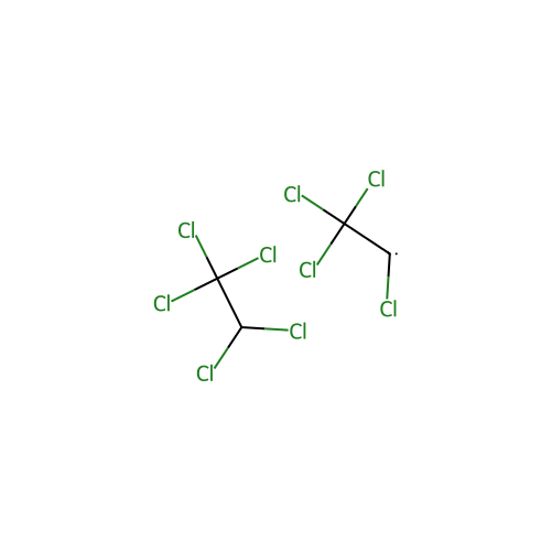 ClC(Cl)C(Cl)(Cl)Cl.Cl[CH]C(Cl)(Cl)Cl